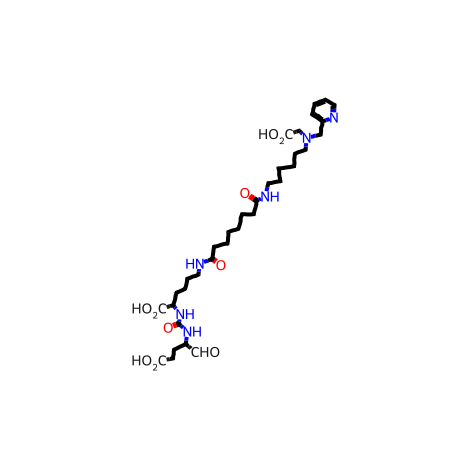 O=CC(CCC(=O)O)NC(=O)NC(CCCCNC(=O)CCCCCCC(=O)NCCCCCCN(CC(=O)O)Cc1ccccn1)C(=O)O